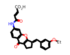 CCOc1cccc(C=C2CCc3c2oc2cc(NC(=O)C=CC(=O)O)ccc2c3=O)c1